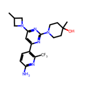 CC1CN(c2cc(-c3ccc(N)nc3C(F)(F)F)nc(N3CCC(C)(O)CC3)n2)C1